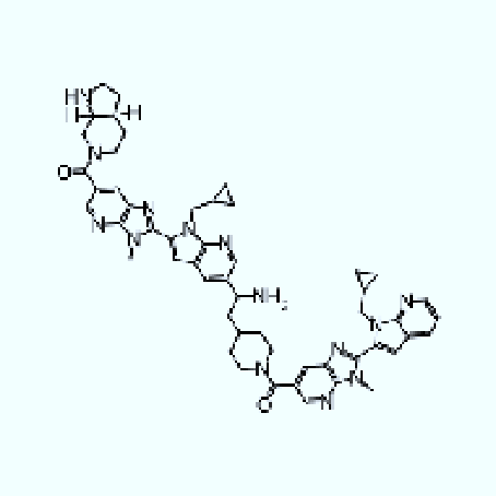 Cn1c(-c2cc3cccnc3n2CC2CC2)nc2cc(C(=O)N3CCC(CC(N)c4cnc5c(c4)cc(-c4nc6cc(C(=O)N7CC[C@H]8CCN[C@H]8C7)cnc6n4C)n5CC4CC4)CC3)cnc21